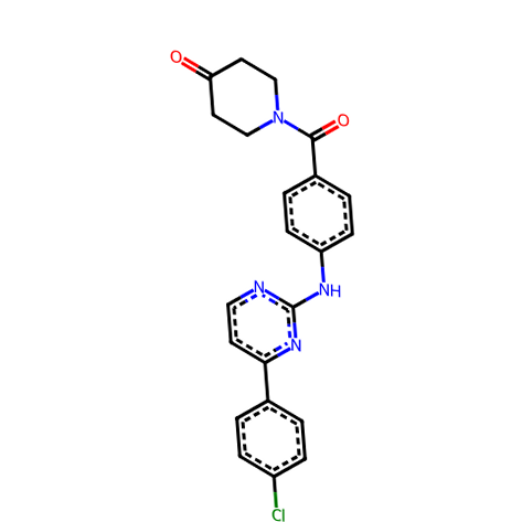 O=C1CCN(C(=O)c2ccc(Nc3nccc(-c4ccc(Cl)cc4)n3)cc2)CC1